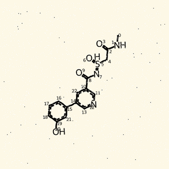 CNC(=O)C/[SH](=O)=N/C(=O)c1cncc(-c2cccc(O)c2)c1